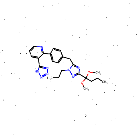 CCCn1nc(C(CCC)(OC)OC)nc1Cc1ccc(-c2ncccc2-c2nnn[nH]2)cc1